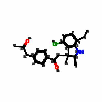 C=C1Nc2c(CC)ccc(Cl)c2C1(C)CC(=O)c1ccc(CC(C)=O)cc1